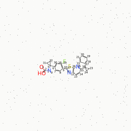 CN(C(=O)O)C1(c2ccc(-c3nc4ccc(C5(c6ccccc6)CC5)nc4s3)c(F)c2)CC1